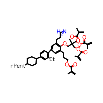 C=C(C)C(=O)OCCCc1cc(-c2ccc(C3CCC(CCCCC)CC3)cc2CC)cc(CCCN)c1OCC(COC(=O)C(=C)C)(COC(=O)C(=C)C)COC(=O)C(=C)C